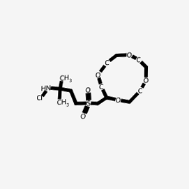 CC(C)(CCS(=O)(=O)CC1COCCOCCOCCO1)NCl